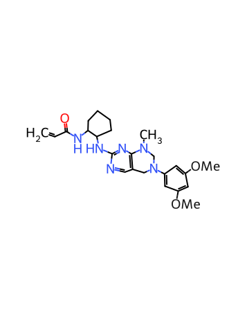 C=CC(=O)NC1CCCCC1Nc1ncc2c(n1)N(C)CN(c1cc(OC)cc(OC)c1)C2